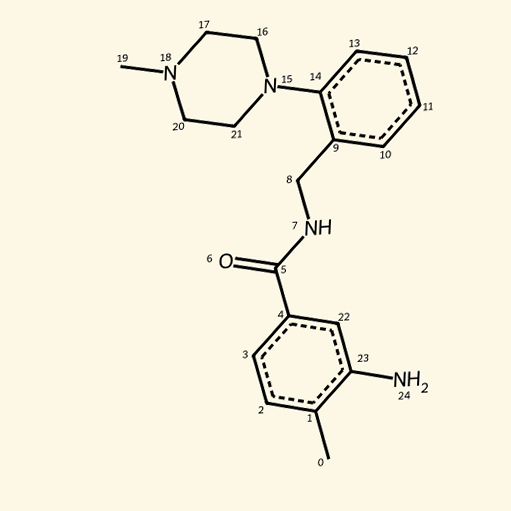 Cc1ccc(C(=O)NCc2ccccc2N2CCN(C)CC2)cc1N